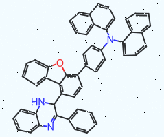 c1ccc(C2=Nc3ccccc3NC2c2ccc(-c3ccc(N(c4cccc5ccccc45)c4cccc5ccccc45)cc3)c3oc4ccccc4c23)cc1